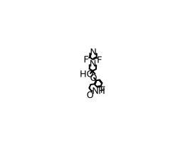 O=C1CCc2c(OCC3(O)CCN(c4c(F)cncc4F)CC3)ccc(F)c2N1